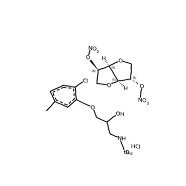 Cc1ccc(Cl)c(OCC(O)CNC(C)(C)C)c1.Cl.O=[N+]([O-])O[C@H]1CO[C@H]2[C@@H]1OC[C@H]2O[N+](=O)[O-]